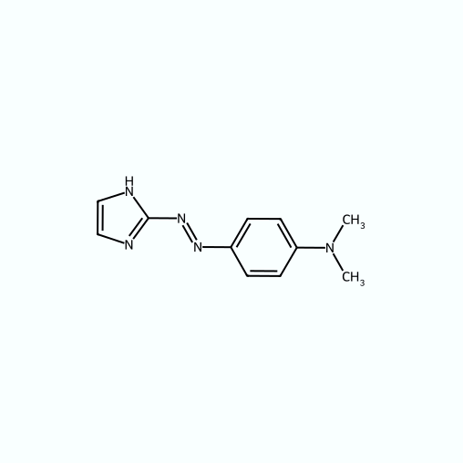 CN(C)c1ccc(/N=N/c2ncc[nH]2)cc1